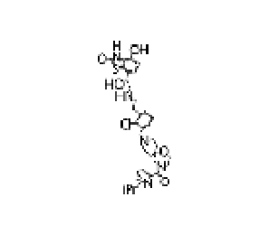 CC(C)c1nc(C(=O)N2CCOC3(CCN(Cc4cccc(CCNC[C@H](O)c5ccc(O)c6[nH]c(=O)sc56)c4Cl)CC3)C2)cs1